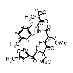 COCC(NC(=O)c1cc(C)on1)C(=O)NC(COC)C(=O)NC(Cc1ccc(C)cc1)C(=O)[C@@]1(C)CO1